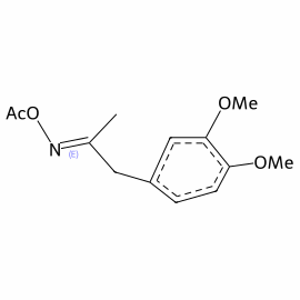 COc1ccc(C/C(C)=N/OC(C)=O)cc1OC